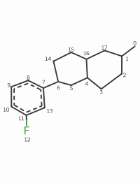 CC1CCC2CC(c3cccc(F)c3)CCC2C1